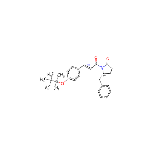 CC(C)(C)[Si](C)(C)Oc1ccc(/C=C/C(=O)N2C(=O)CC[C@@H]2Cc2ccccc2)cc1